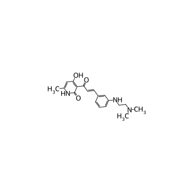 Cc1cc(O)c(C(=O)C=Cc2cccc(NCCN(C)C)c2)c(=O)[nH]1